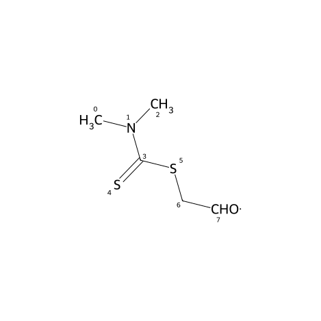 CN(C)C(=S)SC[C]=O